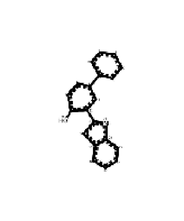 Oc1ccc(-c2ccccc2)cc1-c1cc2ccccc2[nH]1